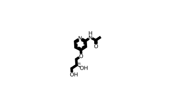 CC(=O)Nc1cc(OC[C@H](O)CO)ccn1